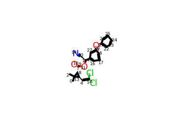 CC1(C)[C@H](C=C(Cl)Cl)[C@H]1C(=O)O[C@@H](C#N)c1cccc(Oc2ccccc2)c1